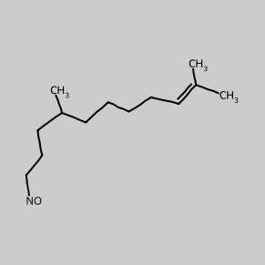 CC(C)=CCCCCC(C)CCCN=O